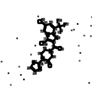 O=C(c1nc2c(C(F)(F)F)cc(Cl)cn2c1Cl)N1CCN(c2nccs2)C(=O)C1